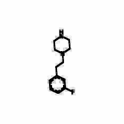 Fc1cccc(CCN2CCNCC2)c1